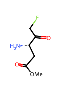 COC(=O)C[C@H](N)C(=O)CF